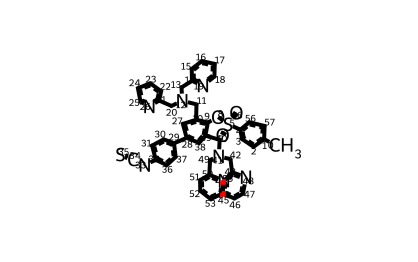 Cc1ccc(S(=O)(=O)Oc2c(CN(Cc3ccccn3)Cc3ccccn3)cc(-c3ccc(N=C=S)cc3)cc2CN(Cc2ccccn2)Cc2ccccn2)cc1